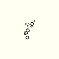 O=C(Nc1ccc(Cl)cc1C(F)(F)F)N1CCC2(CC1)CC(c1ccccc1)=NO2